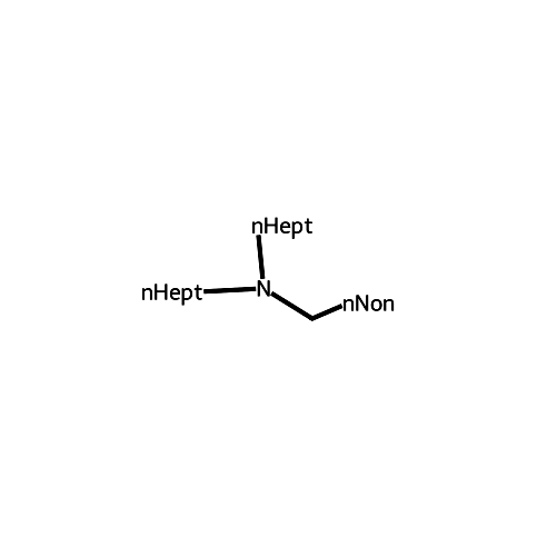 CCCCCCCCCCN(CCCCCCC)CCCCCCC